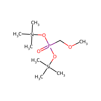 COCP(=O)(O[Si](C)(C)C)O[Si](C)(C)C